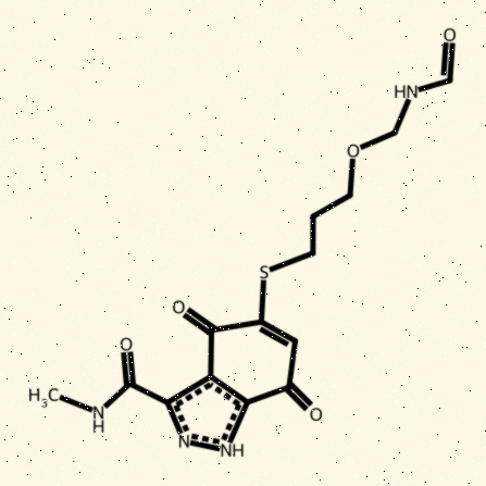 CNC(=O)c1n[nH]c2c1C(=O)C(SCCCOCNC=O)=CC2=O